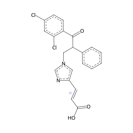 O=C(O)/C=C/c1cn(CC(C(=O)c2ccc(Cl)cc2Cl)c2ccccc2)cn1